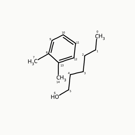 CCCCCCO.Cc1ccccc1C